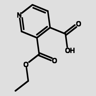 CCOC(=O)c1cnccc1C(=O)O